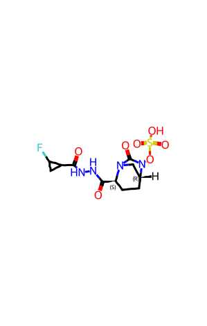 O=C(NNC(=O)[C@@H]1CC[C@@H]2CN1C(=O)N2OS(=O)(=O)O)C1CC1F